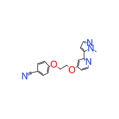 Cn1nccc1-c1cc(OCCOc2ccc(C#N)cc2)ccn1